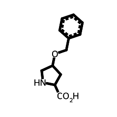 O=C(O)C1CC(OCc2ccccc2)CN1